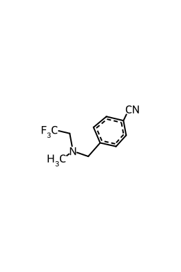 CN(Cc1ccc(C#N)cc1)CC(F)(F)F